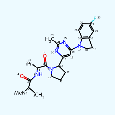 CNC(C)C(=O)N[C@H](C(=O)N1CCCC1c1cc(N2CCc3cc(F)ccc32)nc(C)n1)C(C)C